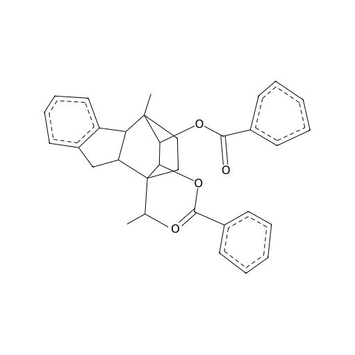 CC(C)C12CCC(C)(C(OC(=O)c3ccccc3)C1OC(=O)c1ccccc1)C1c3ccccc3CC12